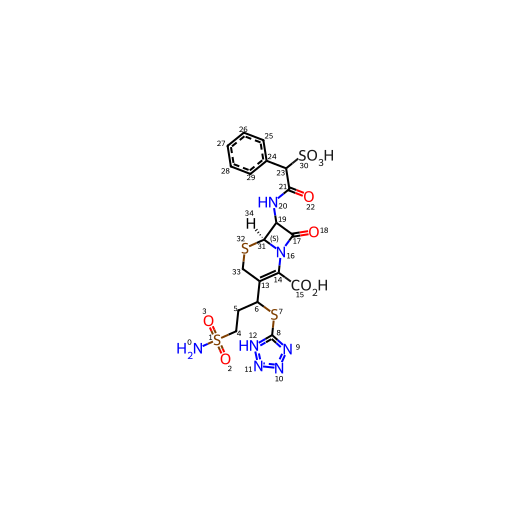 NS(=O)(=O)CCC(Sc1nnn[nH]1)C1=C(C(=O)O)N2C(=O)C(NC(=O)C(c3ccccc3)S(=O)(=O)O)[C@@H]2SC1